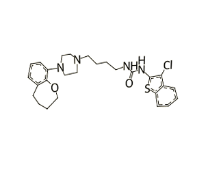 O=C(NCCCCN1CCN(c2cccc3c2OCCCC3)CC1)Nc1sc2ccccc2c1Cl